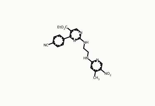 CCOC(=O)c1cnc(NCCNc2cc(C)c([N+](=O)[O-])cn2)nc1-c1ccc(C#N)cc1